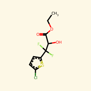 CCOC(=O)C(O)C(F)(F)c1ccc(Cl)s1